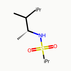 CC(C)C(C)[C@@H](C)NS(=O)(=O)C(C)C